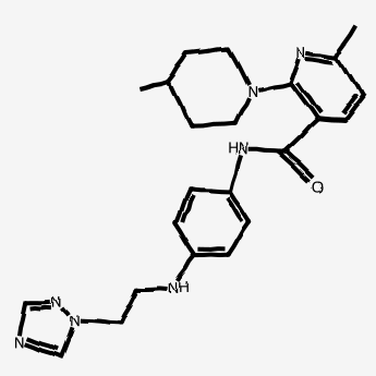 Cc1ccc(C(=O)Nc2ccc(NCCn3cncn3)cc2)c(N2CCC(C)CC2)n1